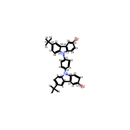 CC(C)(C)c1ccc2c(c1)c1cc(Br)ccc1n2-c1ccc(-n2c3ccc(Br)cc3c3cc(C(C)(C)C)ccc32)cc1